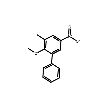 COc1c(C)cc([N+](=O)[O-])cc1-c1ccccc1